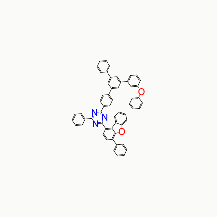 c1ccc(Oc2cccc(-c3cc(-c4ccccc4)cc(-c4ccc(-c5nc(-c6ccccc6)nc(-c6ccc(-c7ccccc7)c7oc8ccccc8c67)n5)cc4)c3)c2)cc1